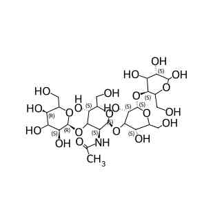 CC(=O)N[C@H]1C(O[C@@H]2OC(CO)[C@H](O)C(O)[C@@H]2O)[C@H](O)C(CO)O[C@H]1OC1[C@@H](O)C(CO)O[C@@H](O[C@@H]2C(CO)OC(O)[C@@H](O)C2O)[C@H]1O